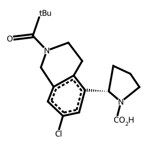 CC(C)(C)C(=O)N1CCc2c(cc(Cl)cc2[C@@H]2CCCN2C(=O)O)C1